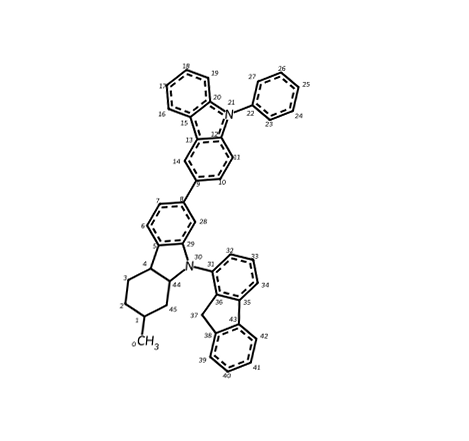 CC1CCC2c3ccc(-c4ccc5c(c4)c4ccccc4n5-c4ccccc4)cc3N(c3cccc4c3Cc3ccccc3-4)C2C1